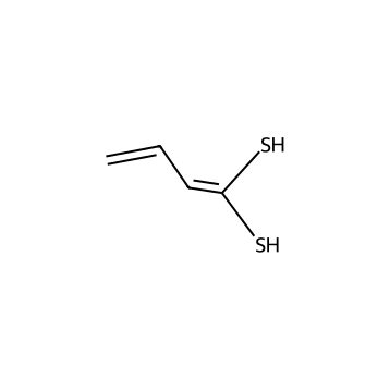 C=CC=C(S)S